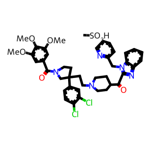 COc1cc(C(=O)N2CCC(CCN3CCC(C(=O)c4nc5ccccc5n4Cc4ccccn4)CC3)(c3ccc(Cl)c(Cl)c3)C2)cc(OC)c1OC.CS(=O)(=O)O